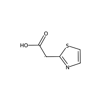 O=C(O)[CH]c1nccs1